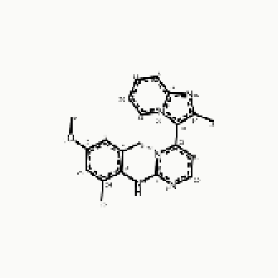 COc1cc(C)c(Nc2nccc(-c3c(C)nc4ccccn34)n2)c(C)c1